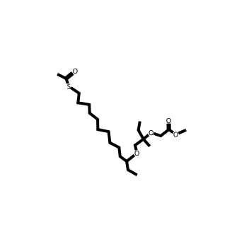 CCC(CCCCCCCCCCSC(C)=O)OCC(C)(CC)OCC(=O)OC